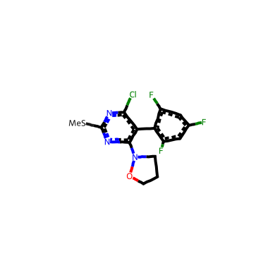 CSc1nc(Cl)c(-c2c(F)cc(F)cc2F)c(N2CCCO2)n1